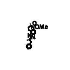 COC(=O)N1c2ccc3c(nc([C@H](C)Cc4ccccc4)n3C)c2CC[C@@H]1C